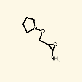 NC1OC1CON1CCCC1